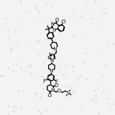 CC1(C)c2ccc(C3CCN(Cc4cn(C5CCN(c6cc(F)c(C7CCC(=O)N(COCC[Si](C)(C)C)C7=O)c(F)c6)CC5)nn4)CC3)cc2-n2c1nc(=O)c1c(Cl)cccc12